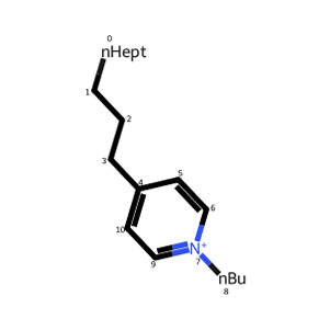 CCCCCCCCCCc1cc[n+](CCCC)cc1